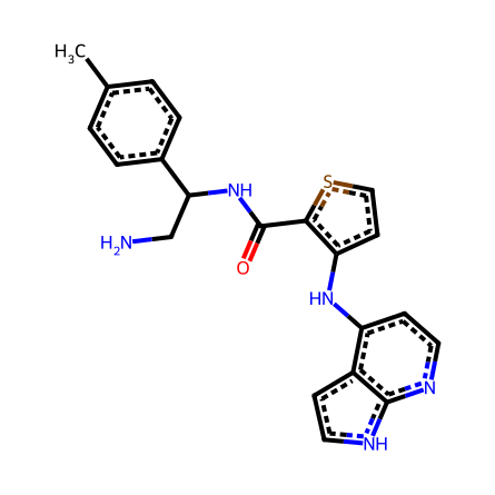 Cc1ccc(C(CN)NC(=O)c2sccc2Nc2ccnc3[nH]ccc23)cc1